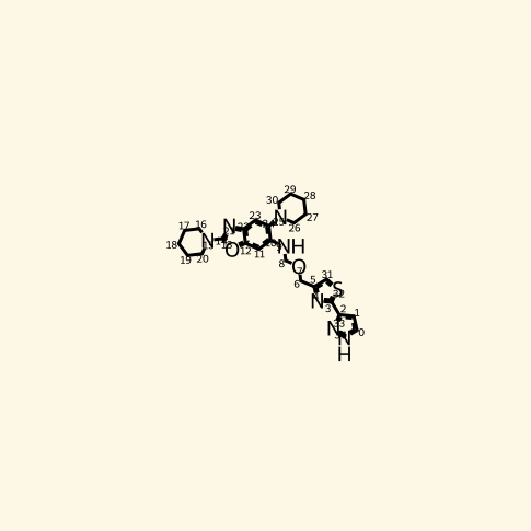 c1cc(-c2nc(COCNc3cc4oc(N5CCCCC5)nc4cc3N3CCCCC3)cs2)n[nH]1